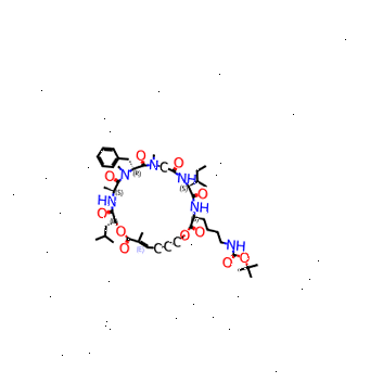 CCC(C)[C@@H]1NC(=O)CN(C)C(=O)[C@@H](Cc2ccccc2)N(C)C(=O)[C@H](C)NC(=O)[C@@H](CC(C)C)OC(=O)/C(C)=C/CCCOC(=O)[C@H](CCCCNC(=O)OC(C)(C)C)NC1=O